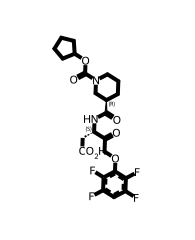 O=C(O)C[C@H](NC(=O)[C@@H]1CCCN(C(=O)OC2CCCC2)C1)C(=O)COc1c(F)c(F)cc(F)c1F